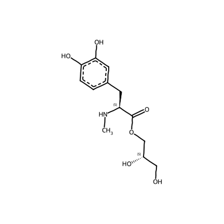 CN[C@@H](Cc1ccc(O)c(O)c1)C(=O)OC[C@@H](O)CO